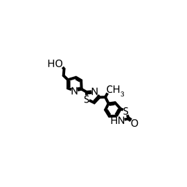 CC(c1ccc2[nH]c(=O)sc2c1)c1csc(-c2ccc(CCO)cn2)n1